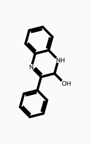 OC1Nc2ccccc2N=C1c1ccccc1